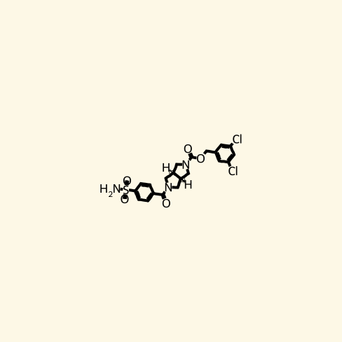 NS(=O)(=O)c1ccc(C(=O)N2C[C@H]3CN(C(=O)OCc4cc(Cl)cc(Cl)c4)C[C@@H]3C2)cc1